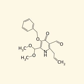 C=CCc1[nH]c(C(OC)OC)c(OCc2ccccc2)c(=O)c1C=O